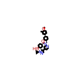 COc1ccc([C@H]2CC[C@H](CN(c3cc(-c4cnn(C5CC5)c4)ccn3)C(=O)[C@H]3CC[C@H](O)CC3)CC2)cc1C